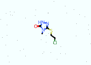 Cn1c(SCCCl)n[nH]c1=O